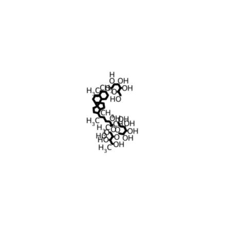 CC(O)C(O)C(OC1OC(CO)C(O)C(O)C1O)C(OO)OC(C)(C)C(O)CCC(C)C1CCC23C4CC=C5C(CCC(OC6OC(CO)C(O)C(O)C6O)C5(C)C)C42CCC13C